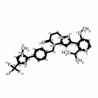 COc1ccnc(C(C)C)c1-c1cc2n(n1)CCC(=O)N2Cc1ccc(-c2nc(C(F)(F)F)cn2C)cc1